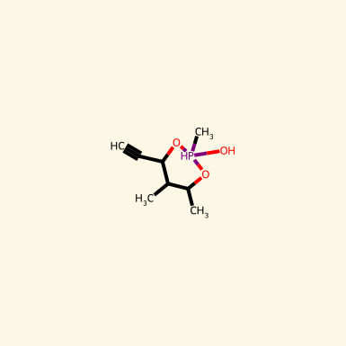 C#CC1O[PH](C)(O)OC(C)C1C